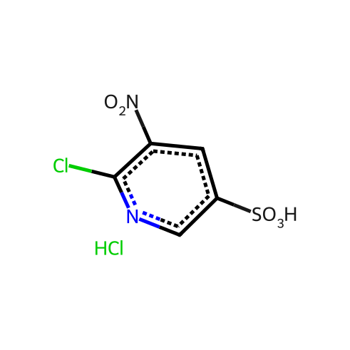 Cl.O=[N+]([O-])c1cc(S(=O)(=O)O)cnc1Cl